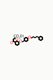 CCOC(=O)c1cc(=O)c2cccc(OCc3ccc(OCCCCc4ccccc4)cc3)c2o1